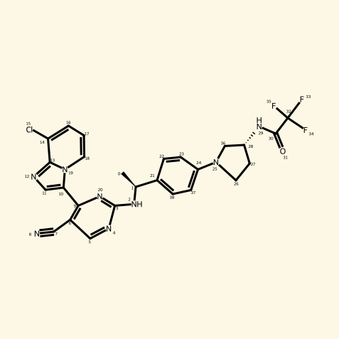 C[C@H](Nc1ncc(C#N)c(-c2cnc3c(Cl)cccn23)n1)c1ccc(N2CC[C@@H](NC(=O)C(F)(F)F)C2)cc1